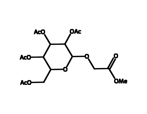 COC(=O)COC1OC(COC(C)=O)C(OC(C)=O)C(OC(C)=O)C1OC(C)=O